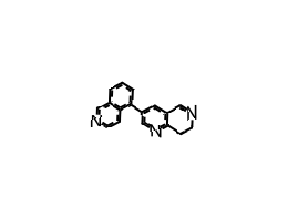 C1=NCCc2ncc(-c3cccc4cnccc34)cc21